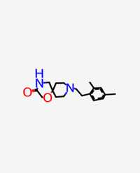 Cc1ccc(CCN2CCC3(CC2)CNC(=O)CO3)c(C)c1